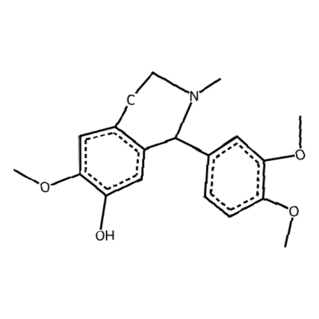 COc1cc2c(cc1O)C(c1ccc(OC)c(OC)c1)N(C)CC2